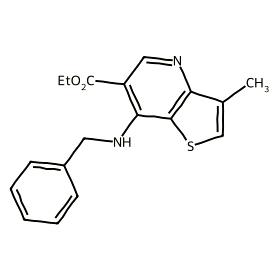 CCOC(=O)c1cnc2c(C)csc2c1NCc1ccccc1